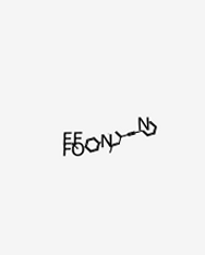 C=C(C#Cc1ccccn1)/C=C(/C)N(C)c1ccc(OC(F)(F)F)cc1